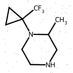 CC1CNCCN1C1(C(F)(F)F)CC1